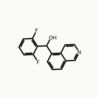 OC(c1c(F)c[c]cc1F)c1cccc2cnccc12